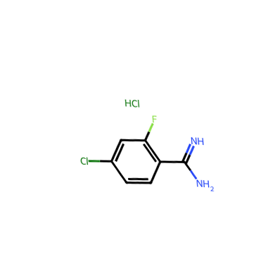 Cl.N=C(N)c1ccc(Cl)cc1F